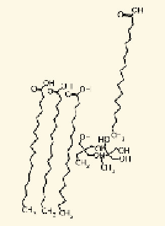 CCC(CO)(CO)CO.CCC(CO)(CO)CO.CCCCCCCCCCCCCCCCCC(=O)O.CCCCCCCCCCCCCCCCCC(=O)O.CCCCCCCCCCCCCCCCCC(=O)O.CCCCCCCCCCCCCCCCCC(=O)O